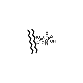 CCCCCCCCC.CCCCCCCCC.OP(O)(O)=S.OP(O)(O)=S